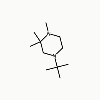 CN1CCN(C(C)(C)C)CC1(C)C